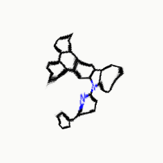 c1ccc(-c2cccc(-n3c4ccccc4c4cc5c6ccccc6c6ccccc6c5cc43)n2)cc1